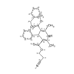 COC(=O)C1=C(C)NC(C)=C(C(=O)OCCC#N)C1c1ccccc1OCc1ccccc1